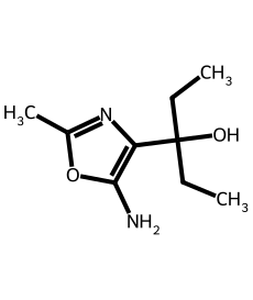 CCC(O)(CC)c1nc(C)oc1N